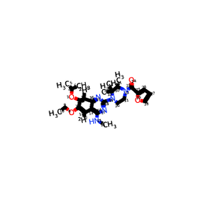 [2H]c1c(OC(C)C)c(OCC)c([2H])c2c(NC)nc(N3CCN(C(=O)c4ccco4)C(C)C3(C)C)nc12